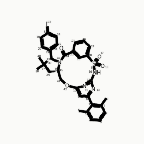 Cc1cccc(C)c1-c1cc2nc(n1)NS(=O)(=O)c1cccc(c1)C(=O)N(Cc1ccc(I)cc1)[C@H](CC(C)(C)C)CO2